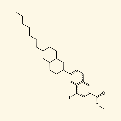 CCCCCCCC1CCC2CC(c3ccc4cc(C(=O)OC)cc(F)c4c3)CCC2C1